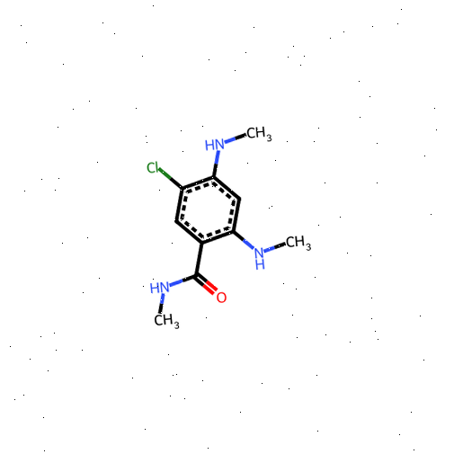 CNC(=O)c1cc(Cl)c(NC)cc1NC